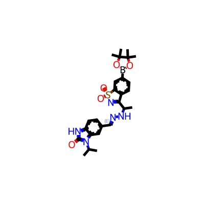 CC(N/N=C/c1ccc2[nH]c(=O)n(C(C)C)c2c1)C1=NS(=O)(=O)c2cc(B3OC(C)(C)C(C)(C)O3)ccc21